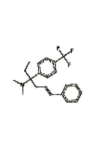 CCC(CC=Cc1ccccc1)(c1ccc(C(F)(F)F)cc1)N(C)C